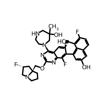 C#Cc1c(F)ccc2cc(O)cc(-c3c(F)cc4c(N5CCNCC(C)(O)C5)nc(OC[C@@]56CCCN5C[C@H](F)C6)nc4c3F)c12